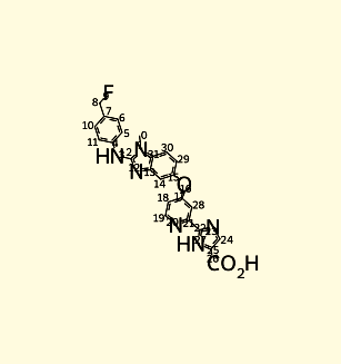 Cn1c(Nc2ccc(CF)cc2)nc2cc(Oc3ccnc(-c4ncc(C(=O)O)[nH]4)c3)ccc21